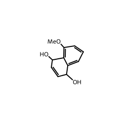 COc1cccc2c1C(O)C=CC2O